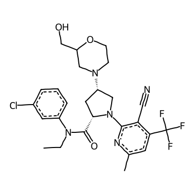 CCN(C(=O)[C@@H]1C[C@H](N2CCOC(CO)C2)CN1c1nc(C)cc(C(F)(F)F)c1C#N)c1cccc(Cl)c1